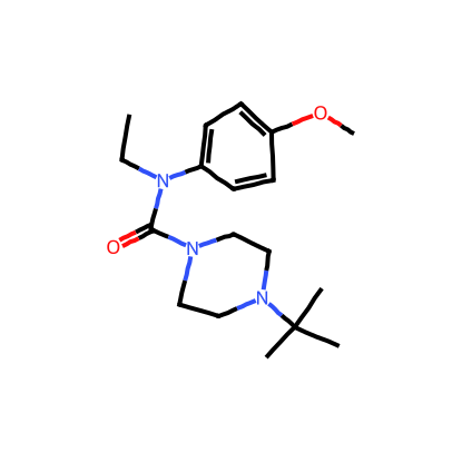 CCN(C(=O)N1CCN(C(C)(C)C)CC1)c1ccc(OC)cc1